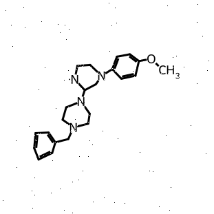 COc1ccc(N2CC[N]C(N3CCN(Cc4ccccc4)CC3)C2)cc1